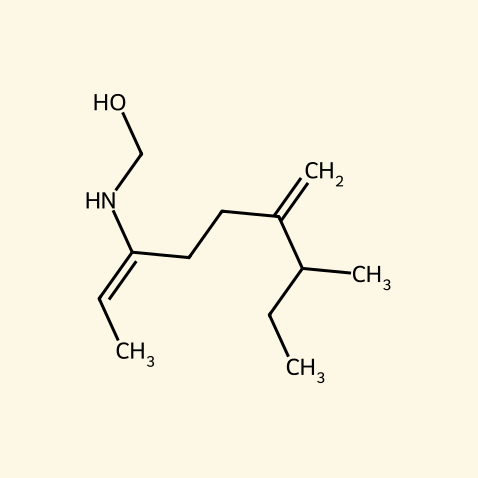 C=C(CC/C(=C\C)NCO)C(C)CC